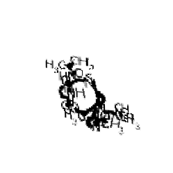 CO[C@@H](C)c1ncccc1-c1c2c3cc(ccc3n1CCCN(C)C)C1CSC(=N1)C[C@H](NC(=O)[C@H]1[C@H](C)[C@@H]1C)C(=O)N1CCC[C@H](N1)C(=O)OCC(C)(C)C2